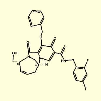 O=C(NCc1ccc(F)cc1F)c1cn2c(c(OCc3ccccc3)c1=O)C(=O)N1C[C@@H]2CC=C[C@@H]1CO